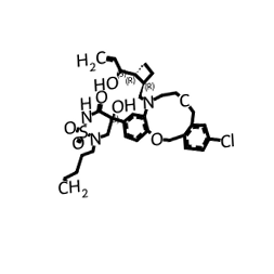 C=CCCCN1C[C@@](O)(c2ccc3c(c2)N(C[C@@H]2CC[C@H]2[C@@H](O)C=C)CCCCc2cc(Cl)ccc2CO3)C(=O)NS1(=O)=O